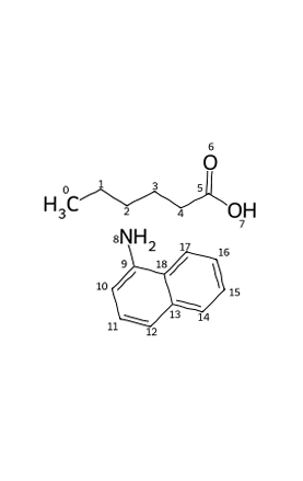 CCCCCC(=O)O.Nc1cccc2ccccc12